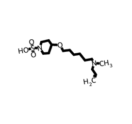 C=CCN(C)CCCCCCOC1CCN(S(=O)(=O)O)CC1